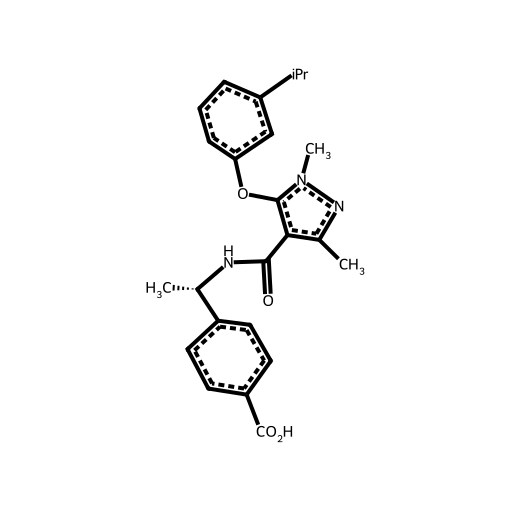 Cc1nn(C)c(Oc2cccc(C(C)C)c2)c1C(=O)N[C@@H](C)c1ccc(C(=O)O)cc1